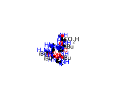 CCC(C)C(N)C(=O)NC(Cc1c[nH]cn1)C(=O)NC(C(=O)NC(Cc1c[nH]cn1)C(=O)NC(C(=O)NC(Cc1c[nH]cn1)C(=O)NC(C(=O)NC(Cc1c[nH]cn1)C(=O)O)C(C)CC)C(C)CC)C(C)CC